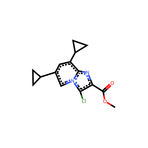 COC(=O)c1nc2c(C3CC3)cc(C3CC3)cn2c1Cl